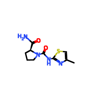 Cc1csc(NC(=O)N2CCC[C@H]2C(N)=O)n1